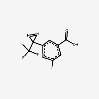 O=C(O)c1cc(I)cc(C2(C(F)(F)F)N=N2)c1